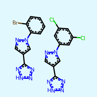 Brc1ccccc1-n1cc(-c2nn[nH]n2)cn1.Clc1cc(Cl)cc(-n2cc(-c3nn[nH]n3)cn2)c1